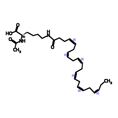 CC/C=C\C/C=C\C/C=C\C/C=C\C/C=C\C/C=C\CCC(=O)NCCCC[C@H](NC(C)=O)C(=O)O